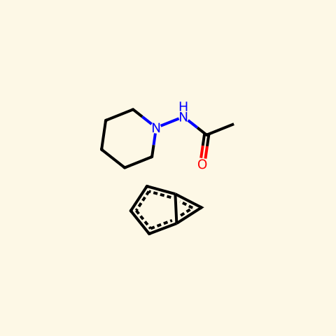 CC(=O)NN1CCCCC1.c1cc2cc-2c1